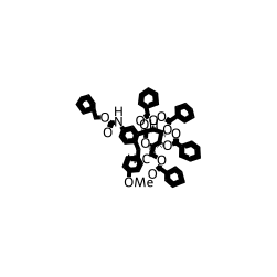 COc1ccc(Cc2ccc(NC(=O)OCc3ccccc3)cc2[C@@]2(O)O[C@H]([C@H](C)OC(=O)c3ccccc3)[C@@H](OC(=O)c3ccccc3)[C@H](OC(=O)c3ccccc3)[C@H]2OC(=O)c2ccccc2)cc1